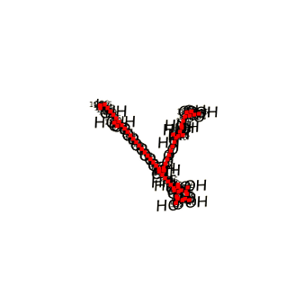 N=N/C(=C\NCCOCCOCCOCCC(=O)N[C@@H](CCCCNC(=S)Nc1ccc(CC2CN(CC(=O)O)CCN(CC(=O)O)CCN(CC(=O)O)CCN2CC(=O)O)cc1)C(=O)NCCOCCOCCOCCOCCOCCOCCOCCOCCC(=O)N[C@@H](CCCCNC(=O)Cc1ccc(I)cc1)C(=O)O)c1cccc(NC(=O)NCCCC[C@H](NC(=O)NCC(=O)O)C(=O)O)c1